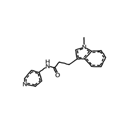 Cn1cc(CCC(=O)Nc2ccncc2)c2ccccc21